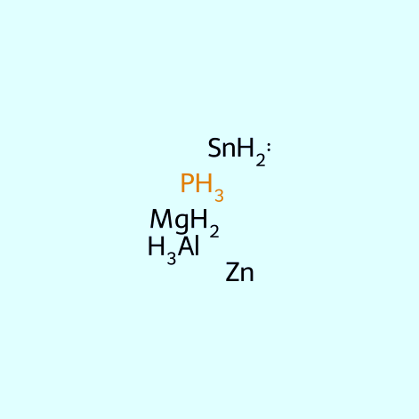 P.[AlH3].[MgH2].[SnH2].[Zn]